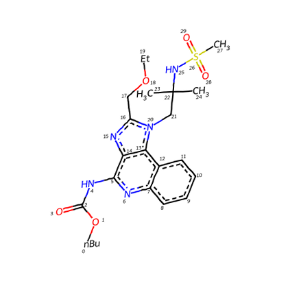 CCCCOC(=O)Nc1nc2ccccc2c2c1nc(COCC)n2CC(C)(C)NS(C)(=O)=O